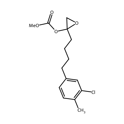 COC(=O)OC1(CCCCc2ccc(C)c(Cl)c2)CO1